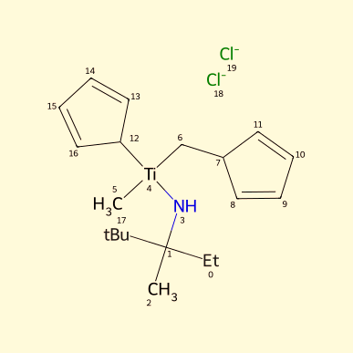 CCC(C)([NH][Ti]([CH3])([CH2]C1C=CC=C1)[CH]1C=CC=C1)C(C)(C)C.[Cl-].[Cl-]